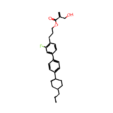 C=C(CO)C(=O)OCCCc1ccc(-c2ccc(C3CCC(CCC)CC3)cc2)cc1F